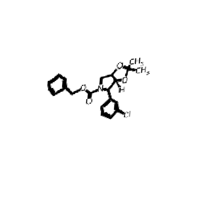 CC1(C)OC2CN(C(=O)OCc3ccccc3)C(c3cccc(Cl)c3)[C@H]2O1